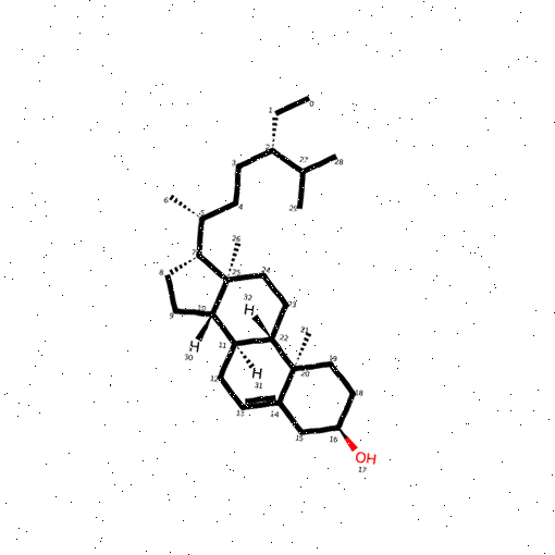 CC[C@@H](CC[C@@H](C)[C@H]1CC[C@H]2[C@@H]3CC=C4C[C@H](O)CC[C@]4(C)[C@H]3CC[C@]12C)C(C)C